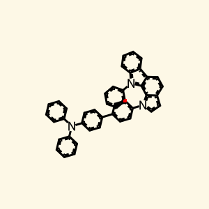 c1ccc(N(c2ccccc2)c2ccc(-c3ccc(-n4ccc5ccc6c7ccccc7n(-c7ccccc7)c6c54)cc3)cc2)cc1